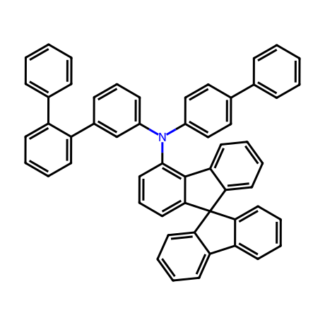 c1ccc(-c2ccc(N(c3cccc(-c4ccccc4-c4ccccc4)c3)c3cccc4c3-c3ccccc3C43c4ccccc4-c4ccccc43)cc2)cc1